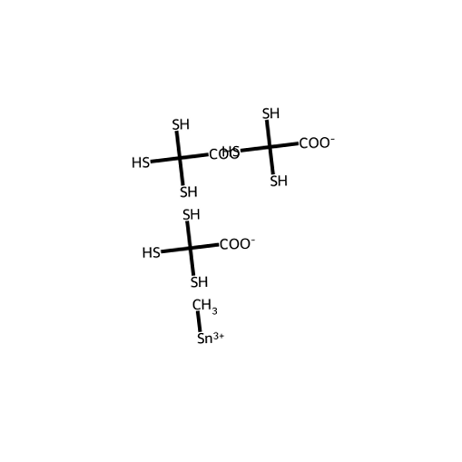 O=C([O-])C(S)(S)S.O=C([O-])C(S)(S)S.O=C([O-])C(S)(S)S.[CH3][Sn+3]